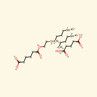 CCC[CH2][Sn+]=[S].CCC[CH2][Sn+]=[S].O=C([O-])CCCC(=O)O.O=C([O-])CCCCC(=O)OCCS